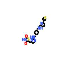 O=C1NC(=O)C(=Cc2ccnc(NC[C@H]3CC[C@H](CNCc4cccc(-c5ccsc5)n4)CC3)n2)S1